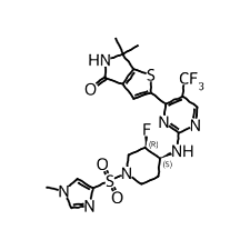 Cn1cnc(S(=O)(=O)N2CC[C@H](Nc3ncc(C(F)(F)F)c(-c4cc5c(s4)C(C)(C)NC5=O)n3)[C@H](F)C2)c1